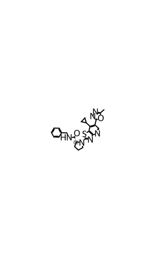 Cc1nnc(-c2cnc3nc(N4CCC[C@@H]4C(=O)NCc4ccccc4)sc3c2C2CC2)o1